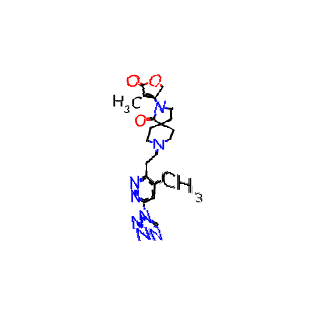 CC1=C(N2CCC3(CCN(CCc4nnc(-n5cnnn5)cc4C)CC3)C2=O)COC1=O